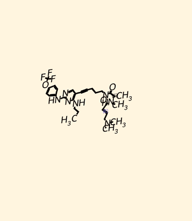 CCCNc1nc(Nc2ccc(OC(F)(F)F)cc2)ncc1C#CCCCNC(=O)[C@H](C)N(C)C(=O)/C=C/CN(C)C